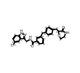 O=C(NCc1n[nH]c2ccc(Cl)cc12)c1cccc(Cc2ccc(CC3OCCNC3=O)cc2)c1